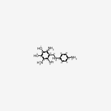 CCCc1c(N)c(O)c(O)c(N)c1CNc1ccc(N)cc1